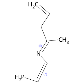 C=CC/C(C)=N/C=C\P